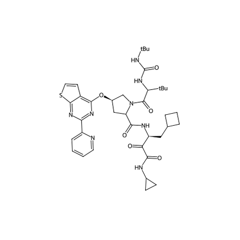 CC(C)(C)NC(=O)NC(C(=O)N1C[C@H](Oc2nc(-c3ccccn3)nc3sccc23)CC1C(=O)N[C@@H](CC1CCC1)C(=O)C(=O)NC1CC1)C(C)(C)C